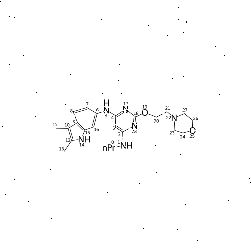 CCCNc1cc(Nc2ccc3c(C)c(C)[nH]c3c2)nc(OCCN2CCOCC2)n1